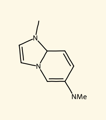 CNC1=CN2C=CN(C)C2C=C1